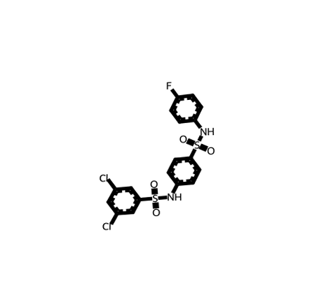 O=S(=O)(Nc1ccc(F)cc1)c1ccc(NS(=O)(=O)c2cc(Cl)cc(Cl)c2)cc1